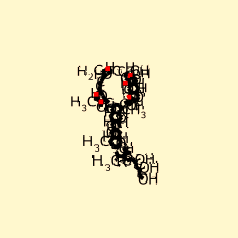 C=C1C[C@@H]2CC[C@@]34O[C@@H]5[C@@H]6O[C@@](O)([C@H](O3)[C@@H]6O[C@H]3CC[C@H](CC(=O)O[C@@H]6[C@@H](C)[C@@H]7O[C@@H]8C[C@]9(C[C@@H]%10O[C@]%11(C[C@H](C)[C@@H]%12O[C@H]([C@@H](O)C[C@@H](O)CO)C[C@@H]%12O%11)C[C@H](C)[C@@H]%10O9)O[C@@H]8C[C@@H]7O[C@H]6C[C@H]6O[C@@H](CC[C@@H]1O2)C[C@@H](C)C6=C)O[C@H]53)[C@H]4O